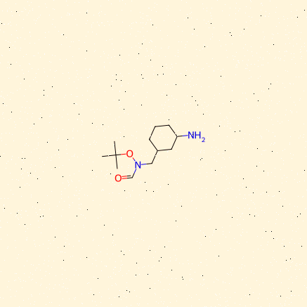 CC(C)(C)ON(C=O)CC1CCCC(N)C1